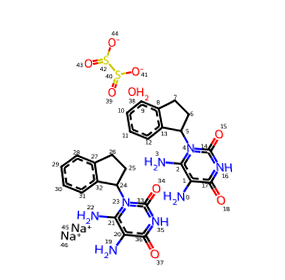 Nc1c(N)n(C2CCc3ccccc32)c(=O)[nH]c1=O.Nc1c(N)n(C2CCc3ccccc32)c(=O)[nH]c1=O.O.O=S([O-])S(=O)[O-].[Na+].[Na+]